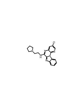 Clc1cnc2c(c1)nc(NCCN1CCCC1)c1nc3ccccc3n12